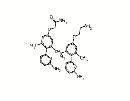 Cc1cc(OCC(N)=O)cc(C)c1-c1cccc(N)n1.Cc1cc(OCCN)cc(C)c1-c1cccc(N)n1